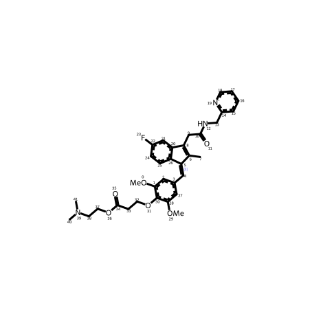 COc1cc(/C=C2/C(C)=C(CC(=O)NCc3ccccn3)c3cc(F)ccc32)cc(OC)c1OCCC(=O)OCCN(C)C